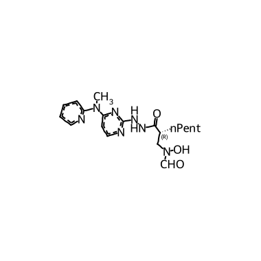 CCCCC[C@H](CN(O)C=O)C(=O)NNc1nccc(N(C)c2ccccn2)n1